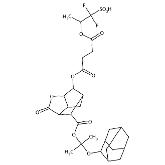 CC(OC(=O)CCC(=O)OC1C2CC3C1OC(=O)C3C2C(=O)OC(C)(C)OC1C2CC3CC(C2)CC1C3)C(F)(F)S(=O)(=O)O